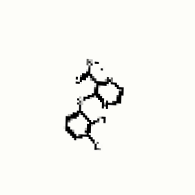 NC(=O)c1nccnc1Sc1cccc(Cl)c1Cl